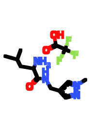 CC(C)CC(N)C(=O)NCc1cnn(C)c1.O=C(O)C(F)(F)F